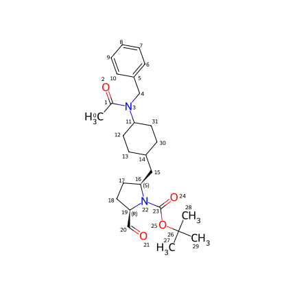 CC(=O)N(Cc1ccccc1)C1CCC(C[C@@H]2CC[C@H](C=O)N2C(=O)OC(C)(C)C)CC1